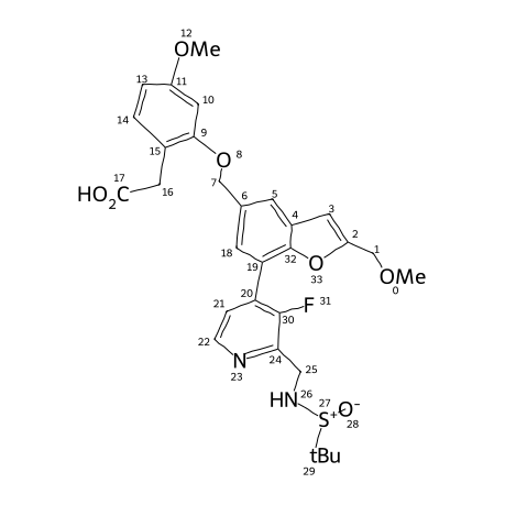 COCc1cc2cc(COc3cc(OC)ccc3CC(=O)O)cc(-c3ccnc(CN[S+]([O-])C(C)(C)C)c3F)c2o1